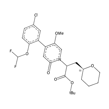 COc1cn(C(C[C@@H]2CCCCO2)C(=O)OC(C)(C)C)c(=O)cc1-c1cc(Cl)ccc1OC(F)F